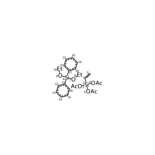 C=C[Si](OC(C)=O)(OC(C)=O)OC(C)=O.CCO[Si](OCC)(c1ccccc1)c1ccccc1